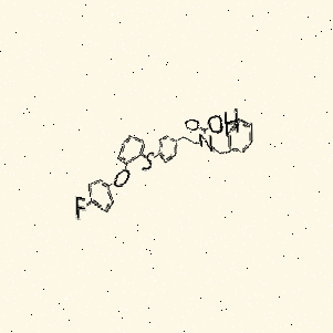 O=C(O)N(CCc1ccc(Sc2ccccc2Oc2ccc(F)cc2)cc1)Cc1ccccc1